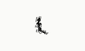 CCc1cc(Nc2nccn3c(-c4ccc(Cl)c(F)c4F)cnc23)ccc1C(=O)NCCC[N+](C)(C)C